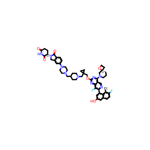 CCc1c(F)ccc2cc(O)cc(-c3ncc4c(N5CCC[C@]6(CCO6)C5)nc(OCC5(CN6CCC(CN7CCN(c8ccc9c(c8)CN([C@H]8CCC(=O)NC8=O)C9=O)CC7)CC6)CC5)nc4c3F)c12